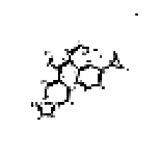 C=C/C(=C(\N=C/C)c1cccc(C2CC2)c1)c1ccc2nccn2c1